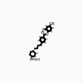 CCCCC[C@H]1CC[C@H](CCCCc2ccc(C(=O)Oc3ccc(C#N)cc3F)cc2)CC1